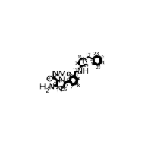 CNC(=O)c1nc(-c2cccc(CN[C@@H]3CCN(Cc4ccccc4)C3)c2)cnc1N